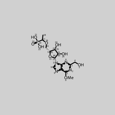 COc1nc(CO)nc2c1ncn2[C@@H]1O[C@H](COC(C)P(=O)(O)O)[C@@H](O)[C@H]1O